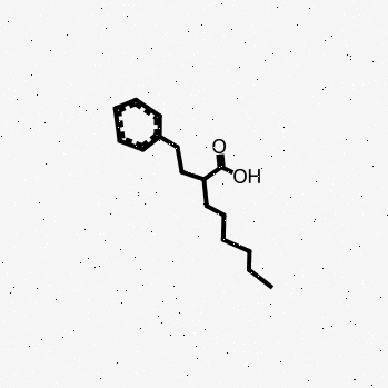 CCCCCCC(CCc1ccccc1)C(=O)O